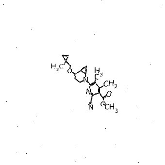 COC(=O)c1c(C#N)nc(N2CCC(OCC3(C)CC3)C3CC32)c(C)c1C